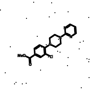 COC(=O)c1ccc(N2CCN(c3ncccn3)CC2)c(Cl)c1